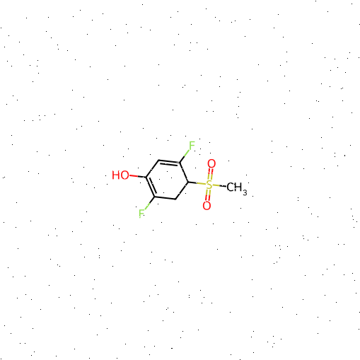 CS(=O)(=O)C1CC(F)=C(O)C=C1F